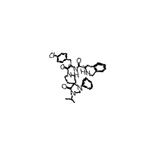 CC(C)N1CN(c2ccccc2)C2(CCN(C(=O)[C@@H](Cc3ccc(Cl)cc3)NC(=O)[C@H]3Cc4ccccc4CN3)CC2)C1=O